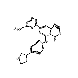 COc1cncc(-c2cc3c(c(Nc4ccc(C5CCNC5)cc4)n2)C(=O)[N]C=C3)n1